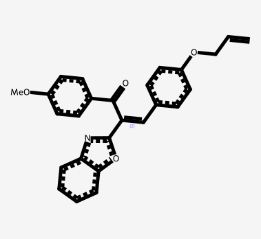 C=CCOc1ccc(/C=C(\C(=O)c2ccc(OC)cc2)c2nc3ccccc3o2)cc1